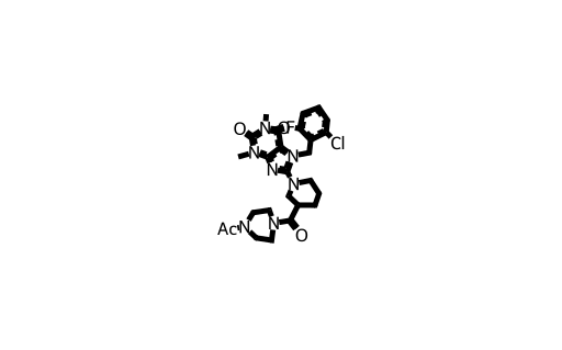 CC(=O)N1CCN(C(=O)C2CCCN(c3nc4c(c(=O)n(C)c(=O)n4C)n3Cc3c(F)cccc3Cl)C2)CC1